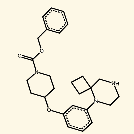 O=C(OCc1ccccc1)N1CCC(Oc2cccc(N3CCNCC34CCC4)c2)CC1